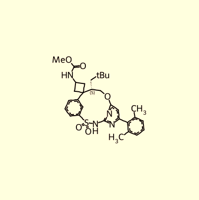 COC(=O)NC1CC2(C1)c1cccc(c1)S(=O)(=O)Nc1nc(cc(-c3c(C)cccc3C)n1)OC[C@H]2CC(C)(C)C